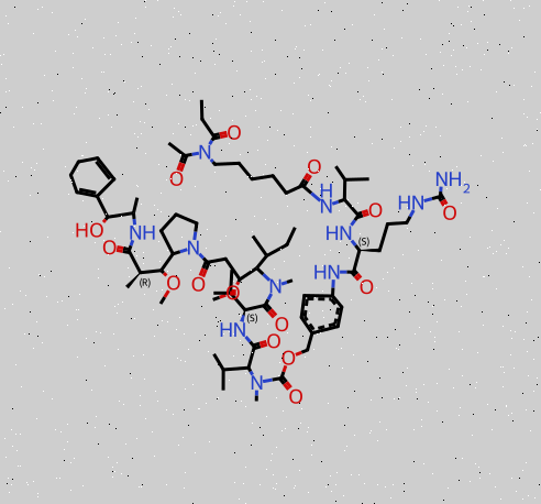 CCC(=O)N(CCCCCC(=O)NC(C(=O)N[C@@H](CCCNC(N)=O)C(=O)Nc1ccc(COC(=O)N(C)C(C(=O)N[C@H](C(=O)N(C)C(C(C)CC)C(CC(=O)N2CCCC2C(OC)[C@@H](C)C(=O)NC(C)C(O)C2=CCCC=C2)OC)C(C)C)C(C)C)cc1)C(C)C)C(C)=O